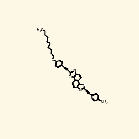 CCCCCCCCCCOc1ccc(C#Cc2nc3ccc4c(ccc5nc(C#Cc6ccc(C)cc6)oc54)c3o2)cc1